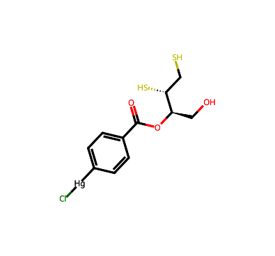 O=C(O[C@H](CO)[C@H](S)CS)c1cc[c]([Hg][Cl])cc1